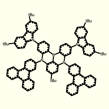 CC(C)(C)c1cc2c3c(c1)N(c1ccc4c5ccccc5c5ccccc5c4c1)c1cc(-n4c5ccc(C(C)(C)C)cc5c5cc(C(C)(C)C)ccc54)ccc1B3c1ccc(-n3c4ccc(C(C)(C)C)cc4c4cc(C(C)(C)C)ccc43)cc1N2c1ccc2c3ccccc3c3ccccc3c2c1